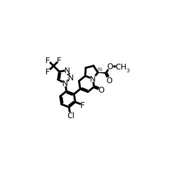 COC(=O)[C@@H]1CCC2CC(c3c(-n4cc(C(F)(F)F)nn4)ccc(Cl)c3F)=CC(=O)N21